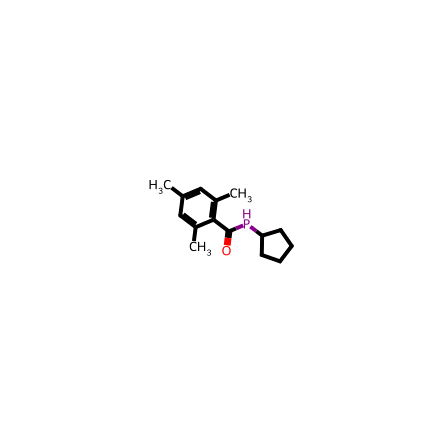 Cc1cc(C)c(C(=O)PC2CCCC2)c(C)c1